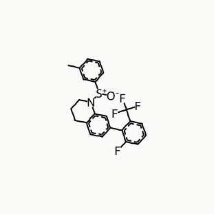 Cc1cccc([S+]([O-])N2CCCc3ccc(-c4c(F)cccc4C(F)(F)F)cc32)c1